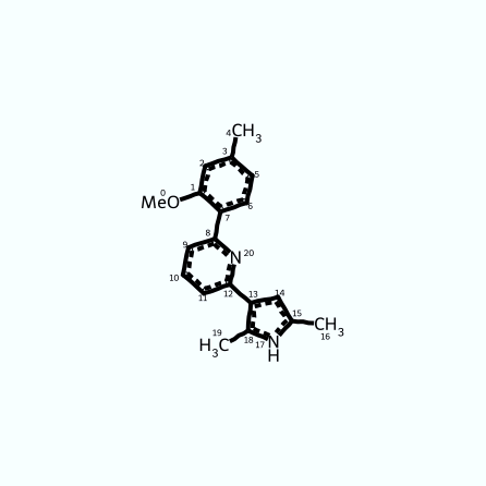 COc1cc(C)ccc1-c1cccc(-c2cc(C)[nH]c2C)n1